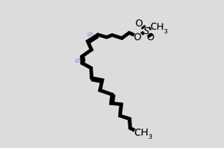 CCCCCC=CCC=CC/C=C\C/C=C\CCCCOS(C)(=O)=O